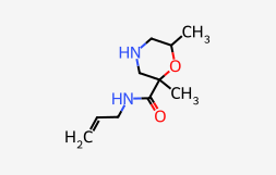 C=CCNC(=O)C1(C)CNCC(C)O1